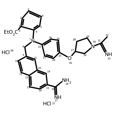 CCOC(=O)c1ccccc1N(Cc1ccc2ccc(C(=N)N)cc2c1)c1ccc(OC2CCN(C(C)=N)C2)cc1.Cl.Cl